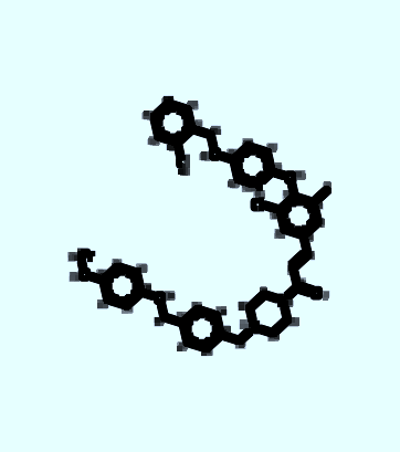 Cc1cc(/C=C/C(=O)N2CCN(Cc3ccc(COc4ccc(OC(C)C)cc4)cc3)CC2)cc(Cl)c1Oc1ccc(OCc2ccccc2Cl)cn1